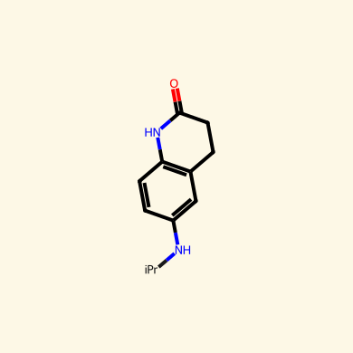 CC(C)Nc1ccc2c(c1)CCC(=O)N2